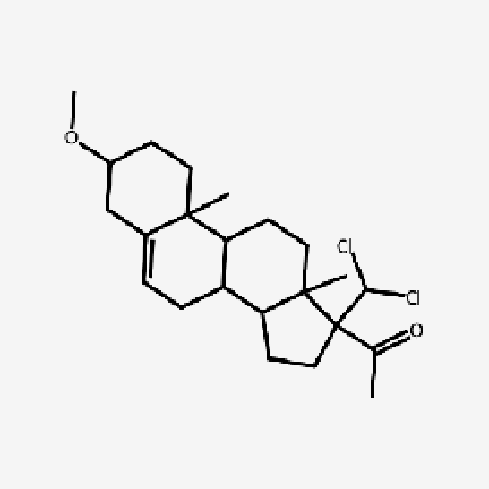 COC1CCC2(C)C(=CCC3C2CCC2(C)C3CCC2(C(C)=O)C(Cl)Cl)C1